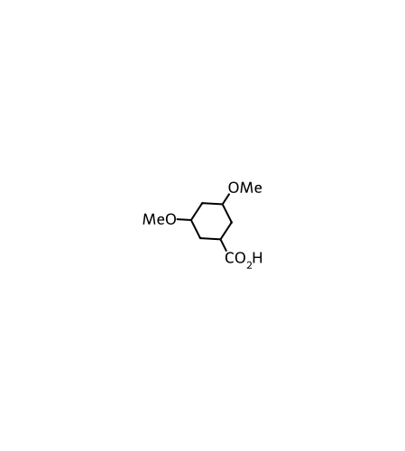 COC1CC(OC)CC(C(=O)O)C1